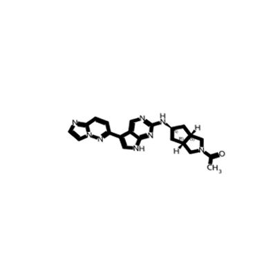 CC(=O)N1C[C@H]2C[C@H](Nc3ncc4c(-c5ccc6nccn6n5)c[nH]c4n3)C[C@H]2C1